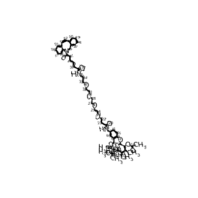 CC(=O)O[C@H]1C(C)[C@H](C)C(C)O[C@H]1Oc1ccc(NC(=O)CCOCCOCCOCCOCCNC(=O)CCCCC(=O)N2Cc3ccccc3C#Cc3ccccc32)cc1CO[Si](C)(C)C(C)(C)C